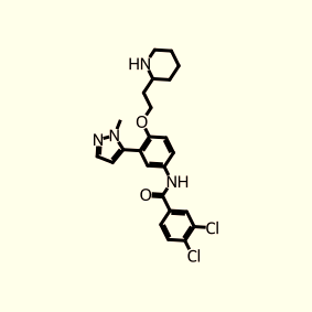 Cn1nccc1-c1cc(NC(=O)c2ccc(Cl)c(Cl)c2)ccc1OCCC1CCCCN1